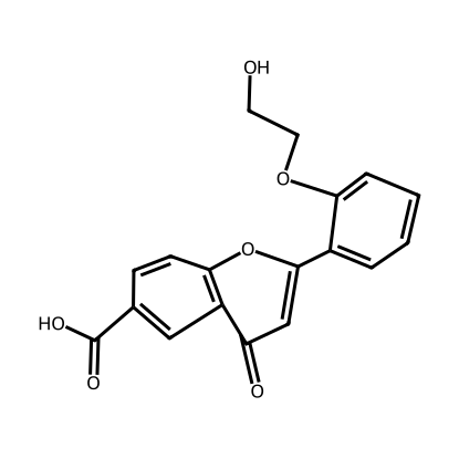 O=C(O)c1ccc2oc(-c3ccccc3OCCO)cc(=O)c2c1